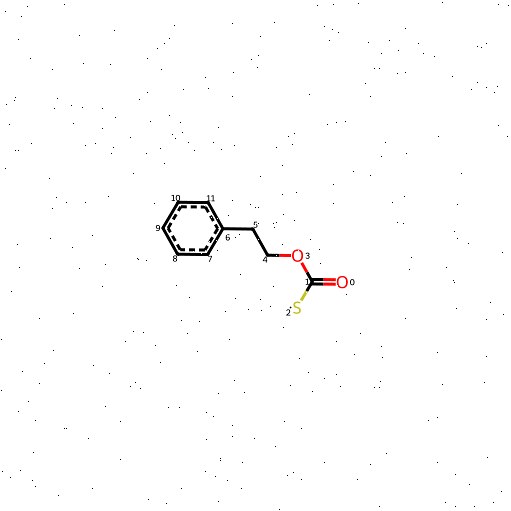 O=C([S])OCCc1ccccc1